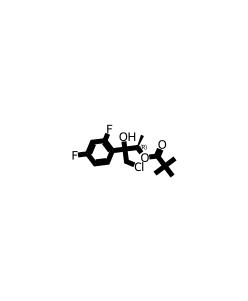 C[C@@H](OC(=O)C(C)(C)C)C(O)(CCl)c1ccc(F)cc1F